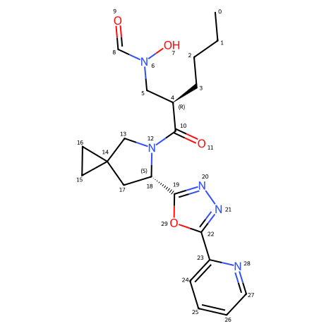 CCCC[C@H](CN(O)C=O)C(=O)N1CC2(CC2)C[C@H]1c1nnc(-c2ccccn2)o1